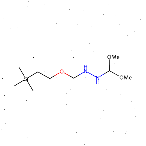 COC(NNCOCC[Si](C)(C)C)OC